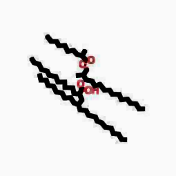 CCCCCCCCCCCCC(CCCCCCCCCC)CC(CCCCCCCCCCCC)C(=O)O.CCCCCCCCCCCCCCC(C)COC(=O)C(C)CCCCCCCC